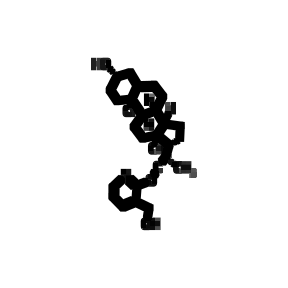 C[C@H](COc1ncccc1CO)[C@H]1CC[C@H]2[C@@H]3CC=C4C[C@@H](O)CC[C@]4(C)[C@H]3CC[C@]12C